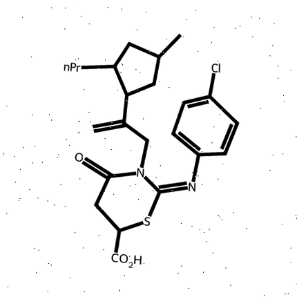 C=C(CN1C(=O)CC(C(=O)O)S/C1=N/c1ccc(Cl)cc1)C1CC(C)CC1CCC